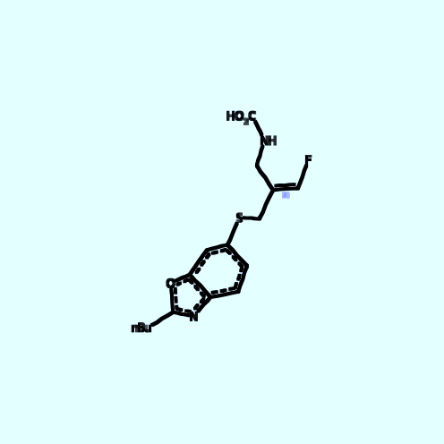 CCCCc1nc2ccc(SC/C(=C/F)CNC(=O)O)cc2o1